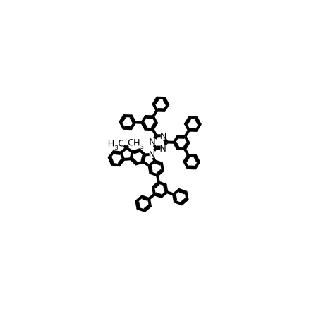 CC1(C)c2ccccc2-c2cc3c4cc(-c5cc(-c6ccccc6)cc(-c6ccccc6)c5)ccc4n(-c4nc(-c5cc(-c6ccccc6)cc(-c6ccccc6)c5)nc(-c5cc(-c6ccccc6)cc(-c6ccccc6)c5)n4)c3cc21